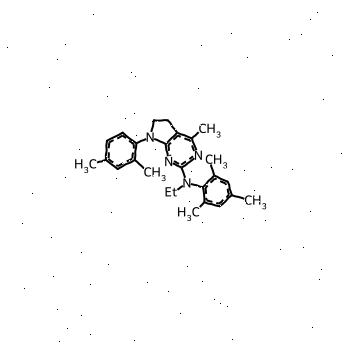 CCN(c1nc(C)c2c(n1)N(c1ccc(C)cc1C)CC2)c1c(C)cc(C)cc1C